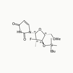 COC[C@H]1O[C@@H](n2ccc(=O)[nH]c2=O)[C@](C)(F)[C@@H]1O[Si](C)(C)C(C)(C)C